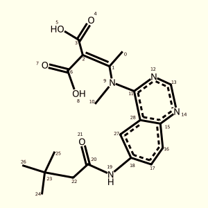 CC(=C(C(=O)O)C(=O)O)N(C)c1ncnc2ccc(NC(=O)CC(C)(C)C)cc12